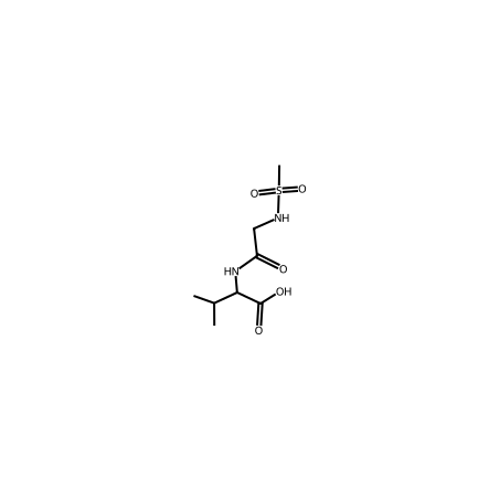 CC(C)C(NC(=O)CNS(C)(=O)=O)C(=O)O